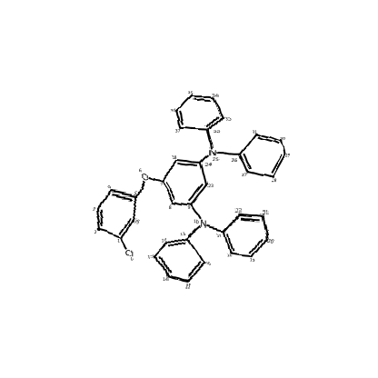 Clc1cccc(Oc2cc(N(c3ccccc3)c3ccccc3)cc(N(c3ccccc3)c3ccccc3)c2)c1